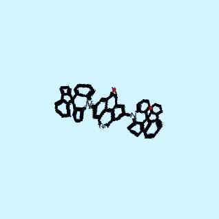 N#Cc1cc(N2c3ccccc3C3(c4ccccc4-c4ccccc43)c3ccccc32)cc(C#N)c1-c1c(C#N)cc(N2c3ccccc3C3(c4ccccc4-c4ccccc43)c3ccccc32)cc1C#N